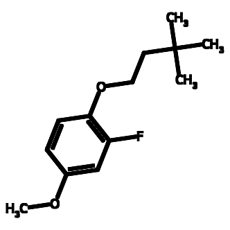 COc1ccc(OCCC(C)(C)C)c(F)c1